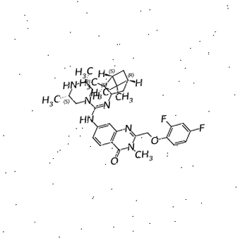 C[C@@H]1CN(C(=NC2C[C@H]3C[C@@H]([C@@H]2C)C3(C)C)Nc2ccc3c(=O)n(C)c(COc4ccc(F)cc4F)nc3c2)C[C@H](C)N1